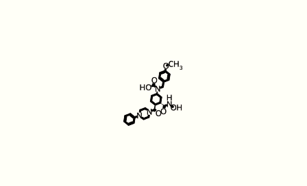 COc1ccc(CN(C(=O)O)[C@@H]2CC[C@H](C(=O)N3CCN(c4ccccc4)CC3)[C@@H](C(=O)NO)C2)cc1